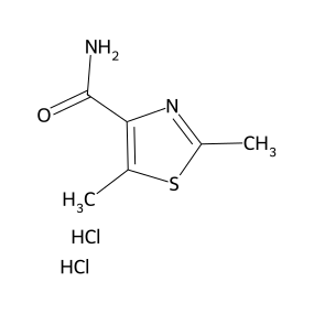 Cc1nc(C(N)=O)c(C)s1.Cl.Cl